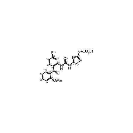 CCOC(=O)Cc1csc(NC(=O)Nc2cc(F)ccc2C(=O)c2ccccc2OC)n1